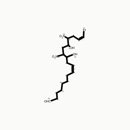 CC/C=C\CC(C(O)CC(C(O)C/C=C\CCCCCC[C]=O)[N+](=O)[O-])[N+](=O)[O-]